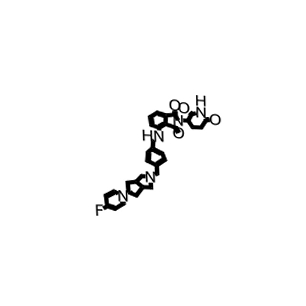 O=C1CCC(N2C(=O)c3cccc(NCc4ccc(CN5CC6CC([n+]7ccc(F)cc7)CC6C5)cc4)c3C2=O)C(=O)N1